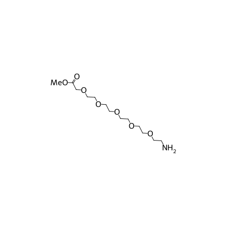 COC(=O)COCCOCCOCCOCCOCCN